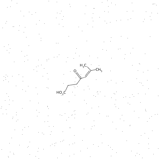 CC(C)=CC(=O)CCC(=O)O